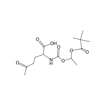 CC(=O)CCC(NC(=O)OC(C)OC(=O)C(C)(C)C)C(=O)O